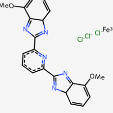 COC1=CC=CC2N=C(c3cccc(C4=NC5C=CC=C(OC)C5=N4)n3)N=C12.[Cl-].[Cl-].[Cl-].[Fe+3]